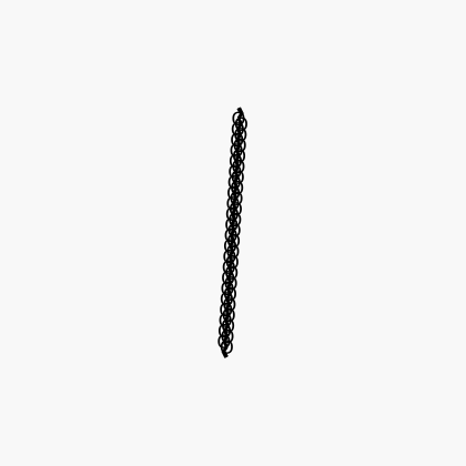 C=COOOOOOOOOOOOOOOOOOOOOOOOOOOOOOOOOOOOOOOOOOOOC=C